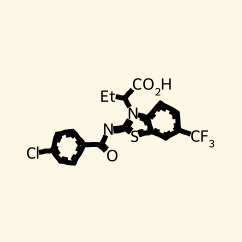 CCC(C(=O)O)n1/c(=N/C(=O)c2ccc(Cl)cc2)sc2cc(C(F)(F)F)ccc21